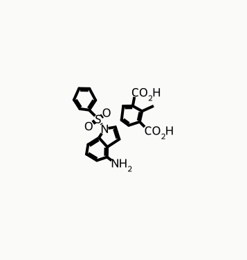 Cc1c(C(=O)O)cccc1C(=O)O.Nc1cccc2c1ccn2S(=O)(=O)c1ccccc1